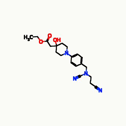 CCOC(=O)CC1(O)CCN(c2ccc(CN(C#N)CCC#N)cc2)CC1